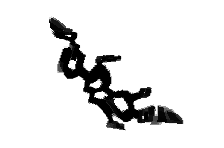 CCOC(=O)c1cn2c(cc1=O)-c1cc(OC)c(-c3cnn(C4COC4)c3)cc1CC2C(C)(C)C